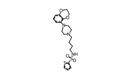 O=S(=O)(NCCCCN1CCN(c2cccc3c2OCCO3)CC1)c1cccs1